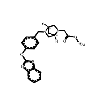 CC(C)(C)OC(=O)CN1C[C@@H]2C[C@H]1CN2Cc1ccc(Oc2nc3ccccc3s2)cc1